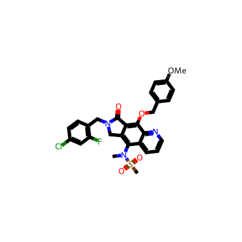 COc1ccc(COc2c3c(c(N(C)S(C)(=O)=O)c4cccnc24)CN(Cc2ccc(Cl)cc2F)C3=O)cc1